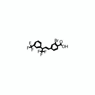 O=C(O)c1ccc(C=CC(c2cccc(C(F)(F)F)c2)C(F)(F)F)cc1Br